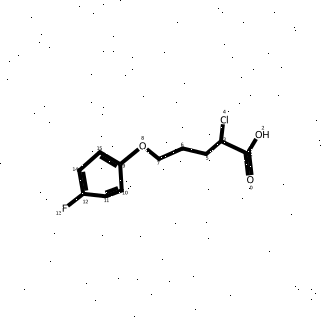 O=C(O)C(Cl)CCCOc1ccc(F)cc1